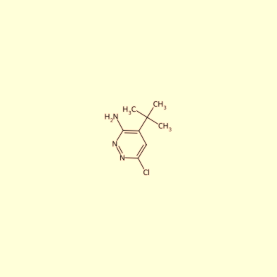 CC(C)(C)c1cc(Cl)nnc1N